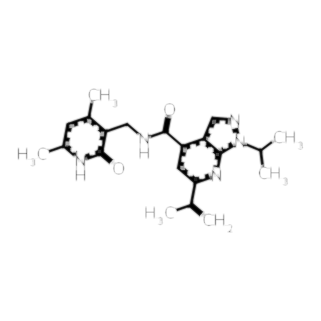 C=C(C)c1cc(C(=O)NCc2c(C)cc(C)[nH]c2=O)c2cnn(C(C)C)c2n1